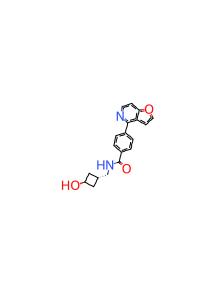 O=C(NC[C@H]1C[C@H](O)C1)c1ccc(-c2nccc3occc23)cc1